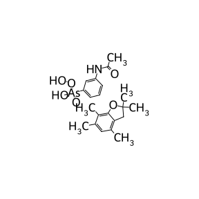 CC(=O)Nc1cccc([As](=O)(O)OO)c1.Cc1cc(C)c2c(c1C)OC(C)(C)C2